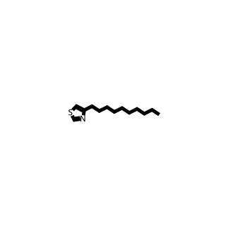 CCCCCCCCCCc1cscn1